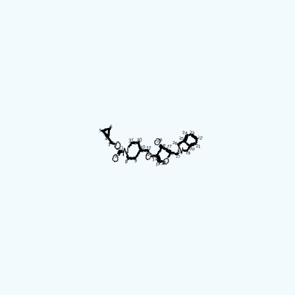 O=C(OCC1CC1)N1CCC(COc2coc(CN3Cc4ccccc4C3)cc2=O)CC1